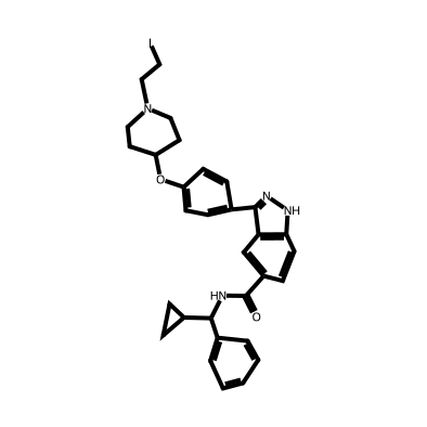 O=C(NC(c1ccccc1)C1CC1)c1ccc2[nH]nc(-c3ccc(OC4CCN(CCI)CC4)cc3)c2c1